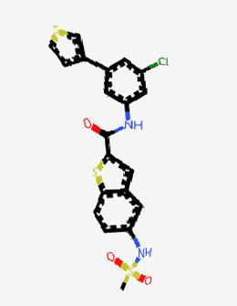 CS(=O)(=O)Nc1ccc2sc(C(=O)Nc3cc(Cl)cc(-c4ccsc4)c3)cc2c1